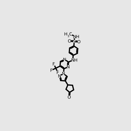 CNS(=O)(=O)c1ccc(Nc2ncc(C(F)(F)F)c(-n3cc(C4CCC(=O)C4)cn3)n2)cc1